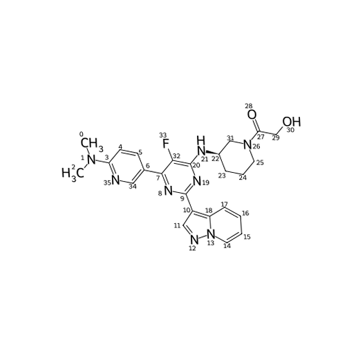 CN(C)c1ccc(-c2nc(-c3cnn4ccccc34)nc(N[C@@H]3CCCN(C(=O)CO)C3)c2F)cn1